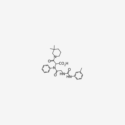 Cc1cccc(NC(=O)NCC(=O)N(c2ccccc2)C(C(=O)O)C(=O)N2CCCC(C)(C)C2)c1